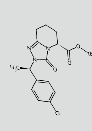 C[C@H](c1ccc(Cl)cc1)n1nc2n(c1=O)[C@@H](C(=O)OC(C)(C)C)CCC2